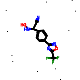 N#CC(NO)c1ccc(-c2noc(C(F)(F)F)n2)cc1